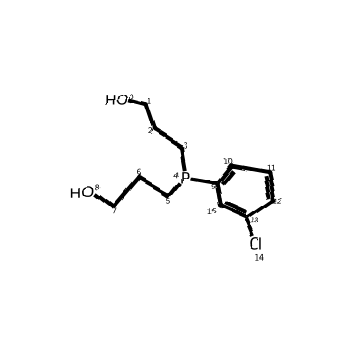 OCCCP(CCCO)c1cccc(Cl)c1